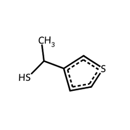 CC(S)c1ccsc1